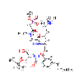 CCCCCCCCCCCCc1ccc(C(=O)N[C@H](CO)CO[Si](C(C)C)(C(C)C)C(C)C)c(OC[C@H](CCCCNC(=O)O)NC(=O)CN(C)C(=O)CP(=O)(OCC)OCC)c1